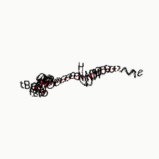 COCCOCCOCCOCCOCCOCCNC(=O)CCCC(=O)NCCOCCOCCOCCOCCOCCNC(=O)CCC(C(=O)OC(C)(C)C)N1CCN(CC(=O)OC(C)(C)C)CCN(CC(=O)OC(C)(C)C)CCN(CC(=O)OC(C)(C)C)CC1